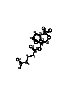 CC(=O)SCCC(=O)Oc1c2c3oc1cc3S(=O)(=O)O2